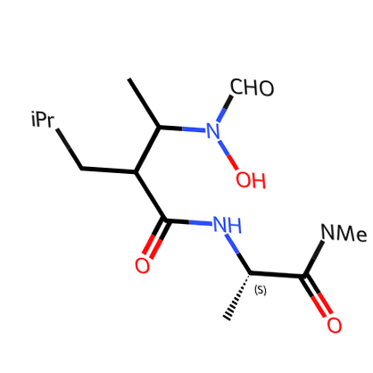 CNC(=O)[C@H](C)NC(=O)C(CC(C)C)C(C)N(O)C=O